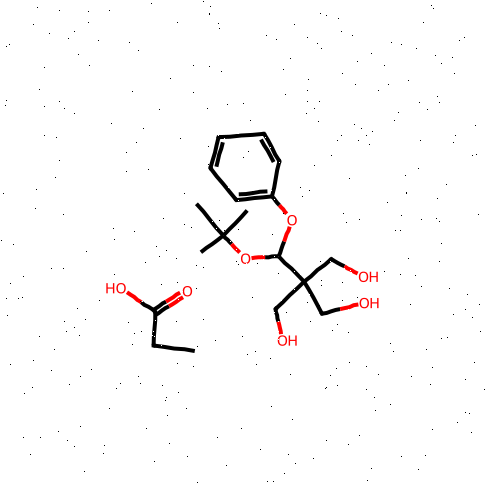 CC(C)(C)OC(Oc1ccccc1)C(CO)(CO)CO.CCC(=O)O